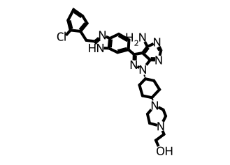 Nc1ncnc2c1c(-c1ccc3nc(Cc4ccccc4Cl)[nH]c3c1)nn2[C@H]1CC[C@@H](N2CCN(CCO)CC2)CC1